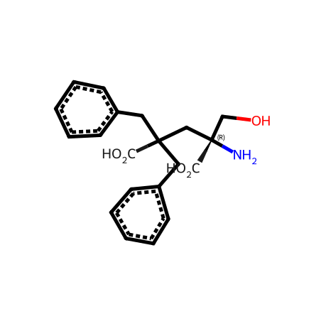 N[C@@](CO)(CC(Cc1ccccc1)(Cc1ccccc1)C(=O)O)C(=O)O